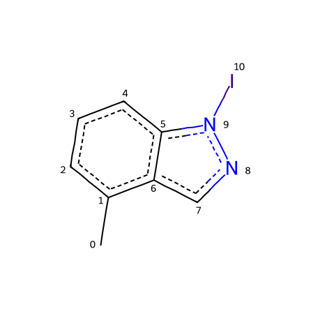 Cc1cccc2c1cnn2I